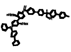 CCCCCCc1cc(Nc2ccc(-c3ccc([C@@](C)(CC(C)C)c4ccc(-c5ccc(C)cc5)cc4)cc3)cc2)ccc1-c1ccc(N(c2ccccc2)c2ccc(-c3ccccc3)cc2)cc1CCCCCC